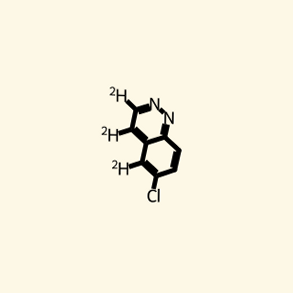 [2H]c1nnc2ccc(Cl)c([2H])c2c1[2H]